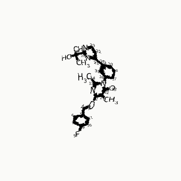 Cc1c(OCc2ccc(F)cc2)nc(C)n(-c2cccc(-c3ccnc(C(C)(C)O)n3)c2)c1=O